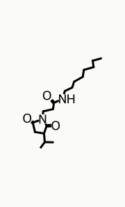 CCCCCCCCNC(=O)CCN1C(=O)CC(C(C)C)C1=O